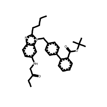 CCCCc1nc2ccc(NCC(=O)CC)cc2n1Cc1ccc(-c2ccccc2C(=O)OC(C)(C)C)cc1